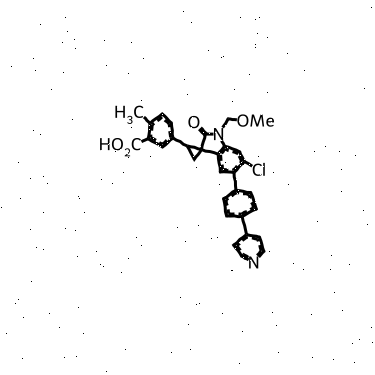 COCN1C(=O)C2(CC2c2ccc(C)c(C(=O)O)c2)c2cc(-c3ccc(-c4ccncc4)cc3)c(Cl)cc21